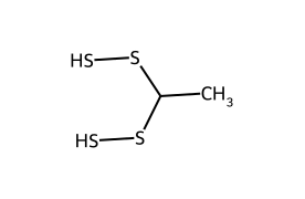 CC(SS)SS